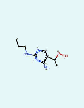 CCCNc1ncc([C@H](C)OO)c(N)n1